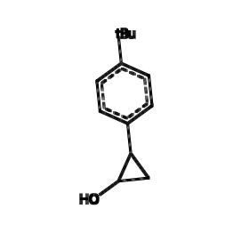 CC(C)(C)c1ccc(C2CC2O)cc1